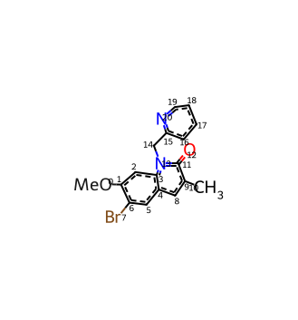 COc1cc2c(cc1Br)cc(C)c(=O)n2Cc1ccccn1